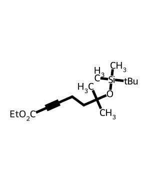 CCOC(=O)C#CCCC(C)(C)O[Si](C)(C)C(C)(C)C